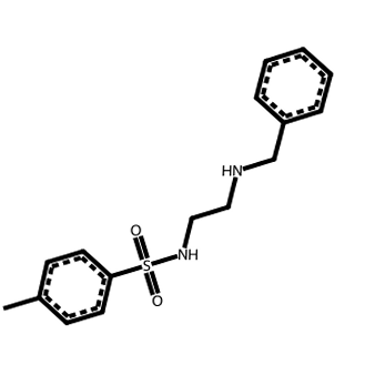 Cc1ccc(S(=O)(=O)NCCNCc2ccccc2)cc1